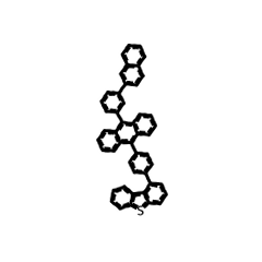 c1cc(-c2ccc3ccccc3c2)cc(-c2c3ccccc3c(-c3ccc(-c4cccc5sc6ccccc6c45)cc3)c3ccccc23)c1